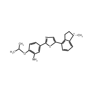 CC(C)Oc1ccc(-c2ncc(-c3cccc4c3CC[C@@H]4C)s2)cc1N